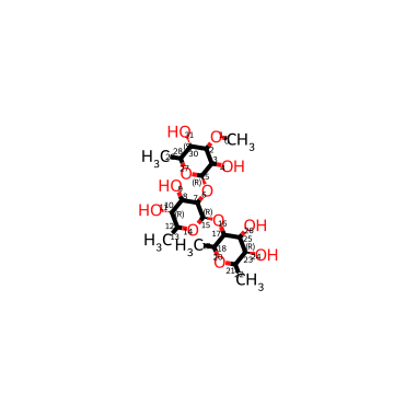 COC1C(O)[C@@H](OC2C(O)[C@@H](O)C(C)O[C@@H]2OC2C(C)OC(C)[C@H](O)C2O)OC(C)[C@@H]1O